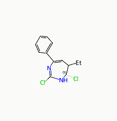 CCC1C=C(c2ccccc2)N=C(Cl)N[C@H]1Cl